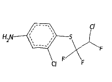 Nc1ccc(SC(F)(F)C(F)Cl)c(Cl)c1